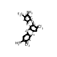 Nc1cc(Oc2ccc(C(F)(F)F)c(Oc3cc(N)c(C(F)(F)F)cc3F)c2)c(F)cc1C(F)(F)F